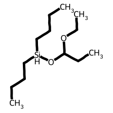 CCCC[SiH](CCCC)OC(CC)OCC